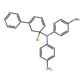 Cc1ccc(N(c2ccc(C(C)(C)C)cc2)C2(Br)C=CC=C(c3ccccc3)C2)cc1